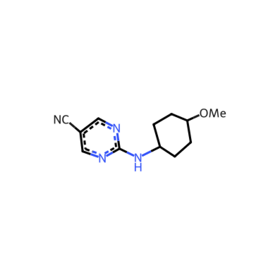 COC1CCC(Nc2ncc(C#N)cn2)CC1